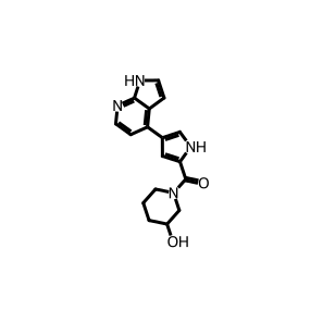 O=C(c1cc(-c2ccnc3[nH]ccc23)c[nH]1)N1CCCC(O)C1